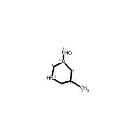 CC1CNCN(C=O)C1